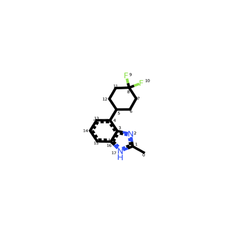 Cc1nc2c(C3CCC(F)(F)CC3)[c]ccc2[nH]1